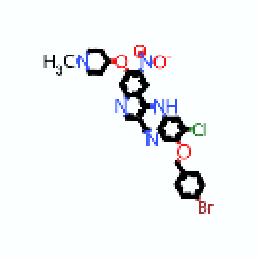 CN1CCC(Oc2cc3ncc(C#N)c(Nc4ccc(OCc5ccc(Br)cc5)c(Cl)c4)c3cc2[N+](=O)[O-])CC1